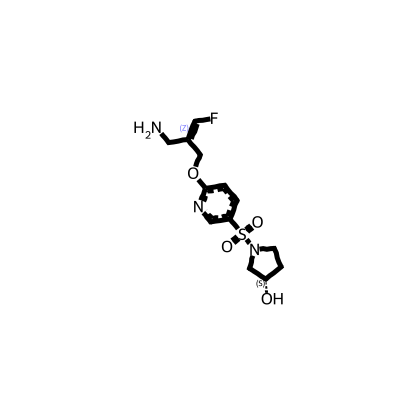 NC/C(=C/F)COc1ccc(S(=O)(=O)N2CC[C@H](O)C2)cn1